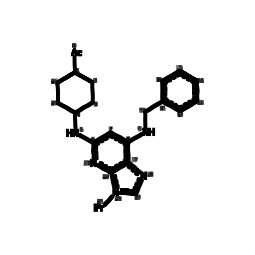 CC(=O)C1CCC(Nc2cc(NCc3ccccc3)c3ncn(C(C)C)c3n2)CC1